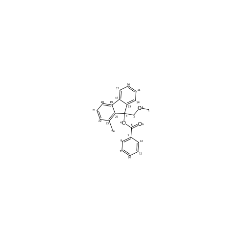 COCC1(OC(=O)c2ccccc2)c2ccccc2-c2cccc(C)c21